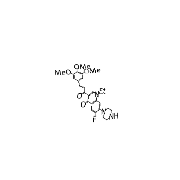 CCn1cc(C(=O)C=Cc2cc(OC)c(OC)c(OC)c2)c(=O)c2cc(F)c(N3CCNCC3)cc21